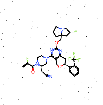 C=C(F)C(=O)N1CCN(c2nc(OC[C@@]34CCCN3C[C@H](F)C4)nc3c2CO[C@H](c2ccccc2C(F)(F)F)C3)C[C@@H]1CC#N